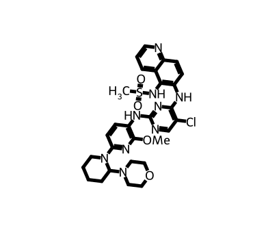 COc1nc(N2CCCCC2N2CCOCC2)ccc1Nc1ncc(Cl)c(Nc2ccc3ncccc3c2NS(C)(=O)=O)n1